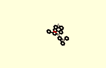 c1ccc(-c2ccc(N(c3ccc4c5ccccc5n(-c5ccccc5)c4c3)c3ccccc3-c3cccc4ccc5sc6ccccc6c5c34)cc2)cc1